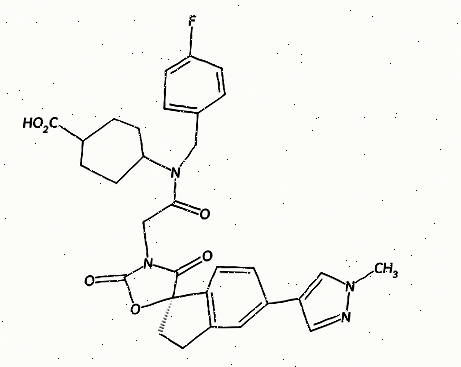 Cn1cc(-c2ccc3c(c2)CC[C@@]32OC(=O)N(CC(=O)N(Cc3ccc(F)cc3)C3CCC(C(=O)O)CC3)C2=O)cn1